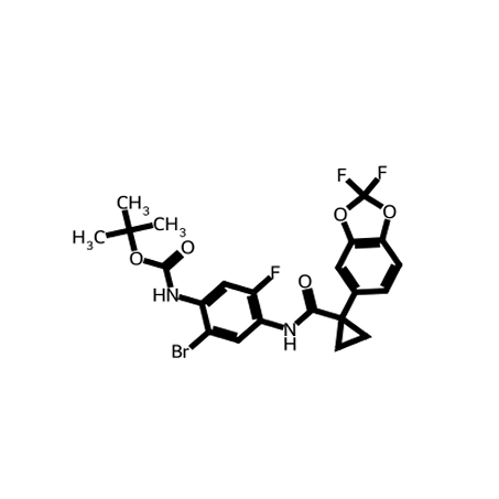 CC(C)(C)OC(=O)Nc1cc(F)c(NC(=O)C2(c3ccc4c(c3)OC(F)(F)O4)CC2)cc1Br